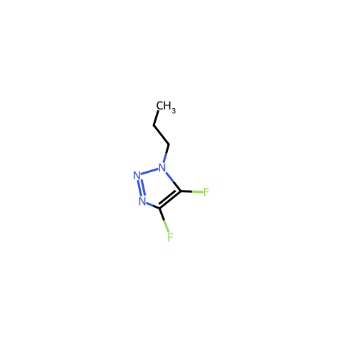 CCCn1nnc(F)c1F